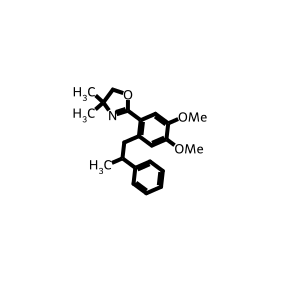 COc1cc(CC(C)c2ccccc2)c(C2=NC(C)(C)CO2)cc1OC